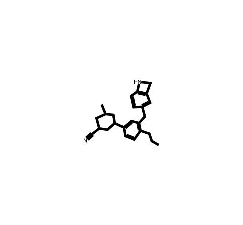 CCCc1ccc(C2CC(C)CC(C#N)C2)cc1Cc1ccc2c(c1)CN2